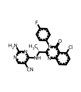 C[C@@H](Nc1nc(N)ncc1C#N)c1nc2cccc(Cl)c2c(=O)n1-c1ccc(F)cc1